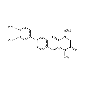 CCCCCCCCN1CC(=O)N(C)[C@@H](Cc2ccc(-c3ccc(OC)c(OC)c3)cc2)C1=O